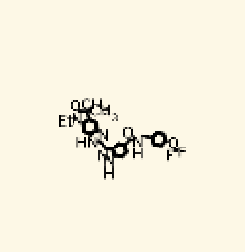 CCN1C(=O)C(C)(C)c2cc3nc(-c4n[nH]c5ccc(C(=O)NCc6ccc(OC(F)F)cc6)cc45)[nH]c3cc21